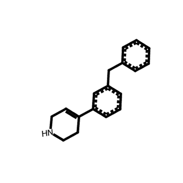 C1=C(c2cccc(Cc3ccccc3)c2)CCNC1